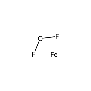 FOF.[Fe]